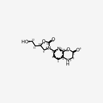 O=C1CNc2ccc(N3CC(CCO)OC3=O)nc2O1